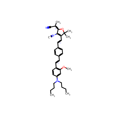 [C-]#[N+]C1=C(/C=C/c2ccc(/C=C/c3ccc(N(CCCC)CCCC)cc3OC)cc2)C(C)(C)O/C1=C(\C)C#N